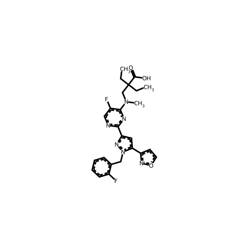 CCC(CC)(CN(C)c1nc(-c2cc(-c3ccon3)n(Cc3ccccc3F)n2)ncc1F)C(=O)O